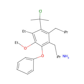 CCOc1c(CC)c(C(C)(C)Cl)c(CC(C)C)c(CC(C)C)c1Oc1ccccc1.N